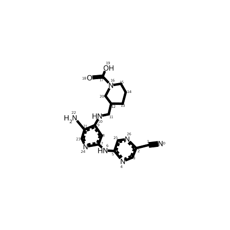 N#Cc1cnc(Nc2cc(NCC3CCCN(C(=O)O)C3)c(N)cn2)cn1